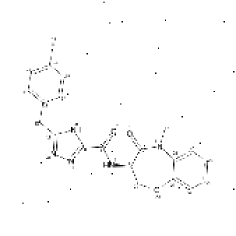 CN1C(=O)[C@H](NC(=O)c2nnc(Cc3ccc(F)cc3)[nH]2)COc2ccccc21